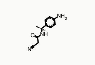 C[C@H](NC(=O)CC#N)c1ccc(N)cc1